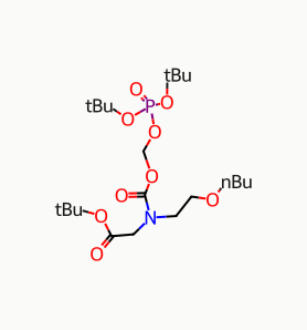 CCCCOCCN(CC(=O)OC(C)(C)C)C(=O)OCOP(=O)(OC(C)(C)C)OC(C)(C)C